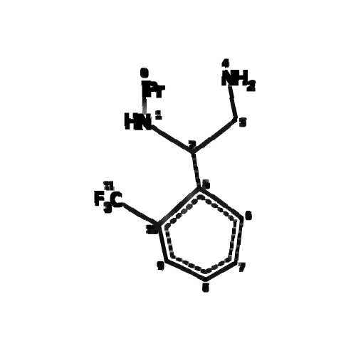 CC(C)NC(CN)c1ccccc1C(F)(F)F